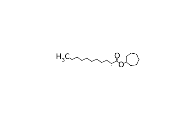 CCCCCCCCC[CH]C(=O)OC1CCCCCC1